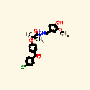 COc1cc(/C=N/NC(=O)C(C)(C)Oc2ccc(C(=O)c3ccc(Cl)cc3)cc2)ccc1O